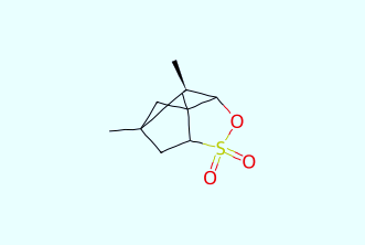 C[C@H]1C2OS(=O)(=O)C3CC1(C)CC23C